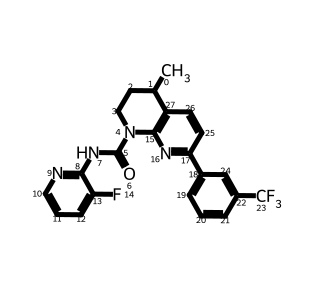 CC1CCN(C(=O)Nc2ncccc2F)c2nc(-c3cccc(C(F)(F)F)c3)ccc21